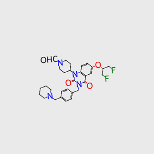 O=CN1CCC(n2c(=O)n(Cc3ccc(CN4CCCCC4)cc3)c(=O)c3cc(OC(CF)CF)ccc32)CC1